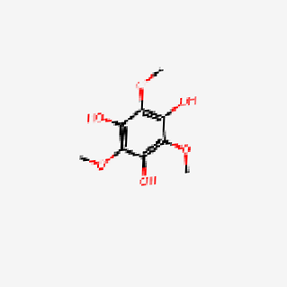 COc1c(O)c(OC)c(O)c(OC)c1O